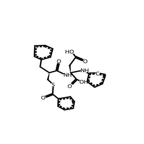 O=C(O)C[C@@](NC(=O)[C@@H](CSC(=O)c1ccccc1)Cc1ccccc1)(Nc1ccccc1)C(=O)O